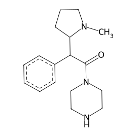 CN1CCCC1C(C(=O)N1CCNCC1)c1ccccc1